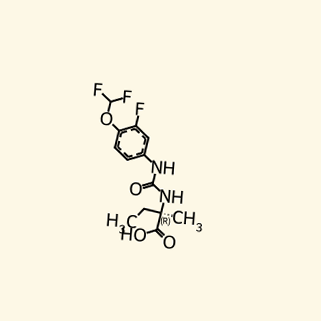 CC[C@@](C)(NC(=O)Nc1ccc(OC(F)F)c(F)c1)C(=O)O